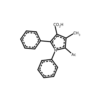 CC(=O)c1c(C)c(C(=O)O)c(-c2ccccc2)n1-c1ccccc1